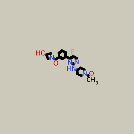 CC(=O)N1CCC(Nc2ncc(F)c(-c3cccc(C(=O)N4CC(O)C4)c3)n2)CC1